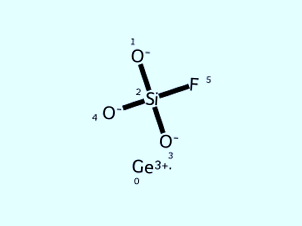 [Ge+3].[O-][Si]([O-])([O-])F